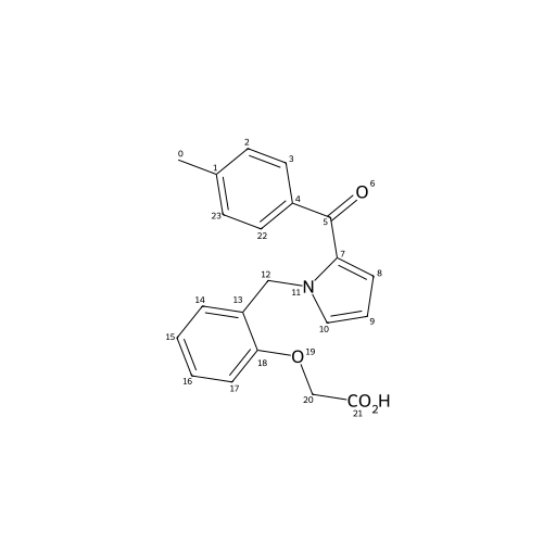 Cc1ccc(C(=O)c2cccn2Cc2ccccc2OCC(=O)O)cc1